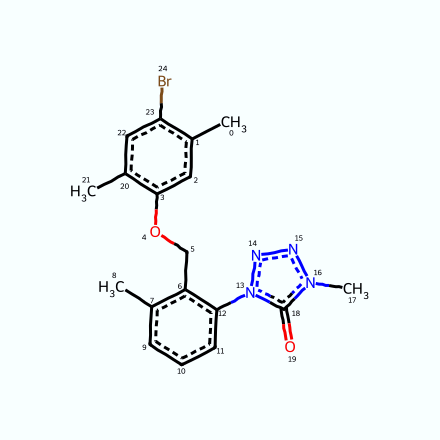 Cc1cc(OCc2c(C)cccc2-n2nnn(C)c2=O)c(C)cc1Br